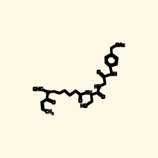 C/C=C\C(=O)N(C=O)CCCCCC(=O)NC(CO)C(=O)NCC(=O)Nc1ccc(COC(C)=O)cc1